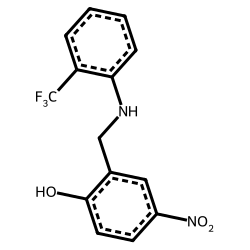 O=[N+]([O-])c1ccc(O)c(CNc2ccccc2C(F)(F)F)c1